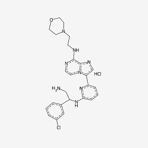 Cl.NCC(Nc1cccc(-c2cnc3c(NCCN4CCOCC4)nccn23)n1)c1cccc(Cl)c1